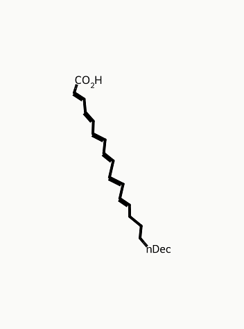 CCCCCCCCCCCCCC=CC=CC=CC=CC=CC=CC(=O)O